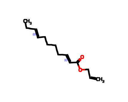 C=CCOC(=O)/C=C/CCCC/C=C/CC